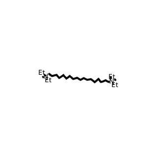 CC[N+](C)(CC)CCCCCCCCCCCCCCCCCC[N+](C)(CC)CC